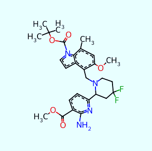 COC(=O)c1ccc(C2CC(F)(F)CCN2Cc2c(OC)cc(C)c3c2ccn3C(=O)OC(C)(C)C)nc1N